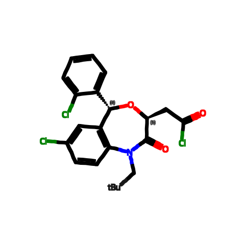 CC(C)(C)CN1C(=O)[C@H](CC(=O)Cl)O[C@@H](c2ccccc2Cl)c2cc(Cl)ccc21